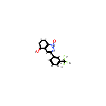 O=C1CCCc2c1cc(-c1cccc(C(F)(F)F)c1)n[n+]2[O-]